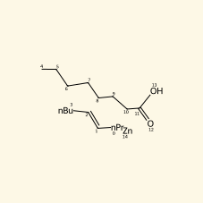 CCCC=CCCCC.CCCCCCCC(=O)O.[Zn]